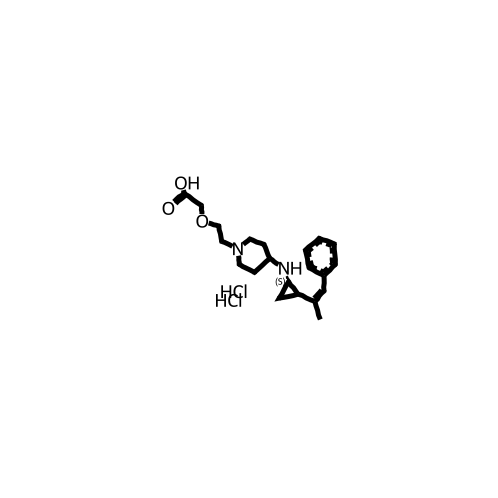 CC(=Cc1ccccc1)C1C[C@@H]1NC1CCN(CCOCC(=O)O)CC1.Cl.Cl